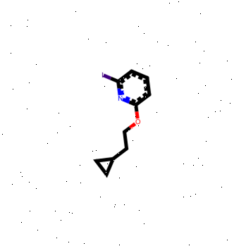 Ic1cccc(OCCC2CC2)n1